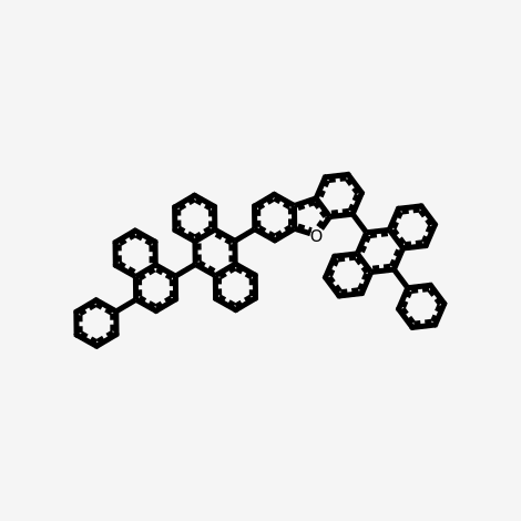 c1ccc(-c2ccc(-c3c4ccccc4c(-c4ccc5c(c4)oc4c(-c6c7ccccc7c(-c7ccccc7)c7ccccc67)cccc45)c4ccccc34)c3ccccc23)cc1